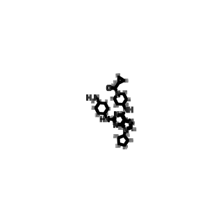 NC1CCC(Nc2nc(NC3CCN(C(=O)C4CC4)CC3)c3ncn(C4CCCC4)c3n2)CC1